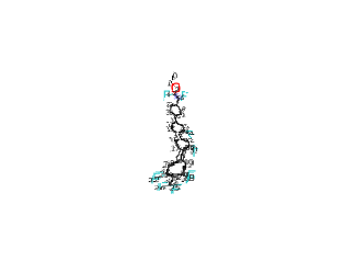 CCO/C(F)=C(\F)c1ccc(-c2ccc(-c3ccc(-c4cc(F)c(C(F)F)c(F)c4)c(F)c3)c(F)c2)cc1